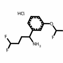 Cl.NC(CCC(F)F)c1cccc(OC(F)F)c1